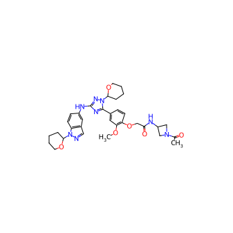 COc1cc(-c2nc(Nc3ccc4c(cnn4C4CCCCO4)c3)nn2C2CCCCO2)ccc1OCC(=O)NC1CN(C(C)=O)C1